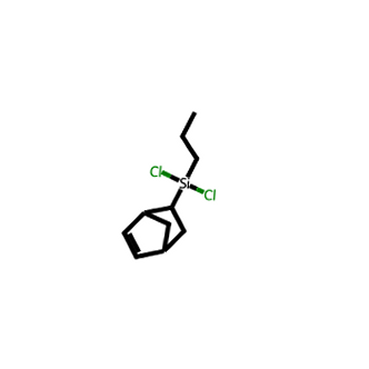 CCC[Si](Cl)(Cl)C1CC2C=CC1C2